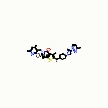 COc1nc(C)cc(C)c1CN1CCc2sc([C@H](C)C3CCC(N4CC(n5ccc(C)n5)C4)CC3)c(C)c2C1=O